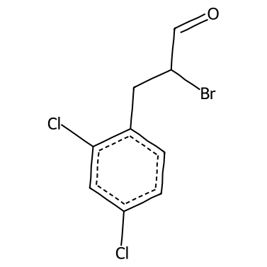 O=CC(Br)Cc1ccc(Cl)cc1Cl